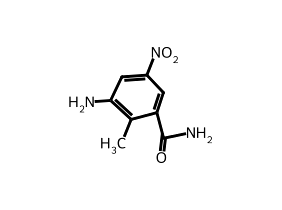 Cc1c(N)cc([N+](=O)[O-])cc1C(N)=O